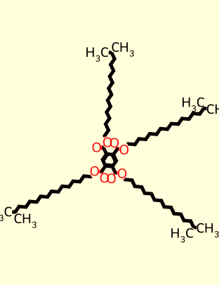 CC(C)CCCCCCCCCCCCCCOC(=O)c1cc(C(=O)OCCCCCCCCCCCCCCC(C)C)c(C(=O)OCCCCCCCCCCCCCCC(C)C)cc1C(=O)OCCCCCCCCCCCCCCC(C)C